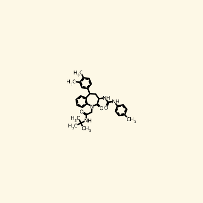 Cc1ccc(NC(=O)NC2CC(c3ccc(C)c(C)c3)c3ccccc3N(CC(=O)NC(C)(C)C)C2=O)cc1